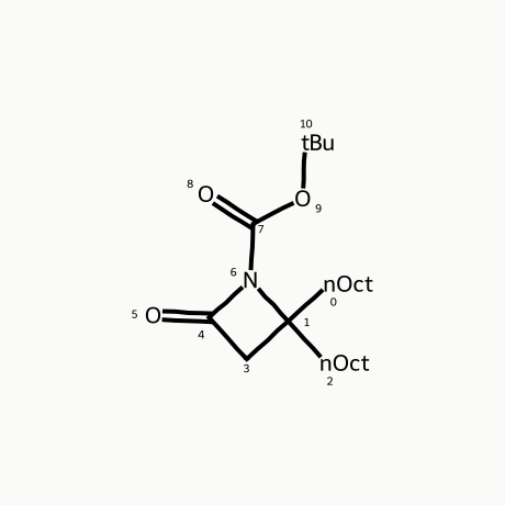 CCCCCCCCC1(CCCCCCCC)CC(=O)N1C(=O)OC(C)(C)C